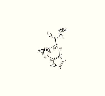 CC(C)(C)OC(=O)[C@H]1Cc2ccoc2CN1.Cl